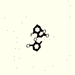 Cc1cccc(Cl)c1Oc1cc(=O)oc2cccc(F)c12